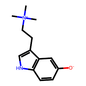 C[N+](C)(C)CCc1c[nH]c2ccc([O-])cc12